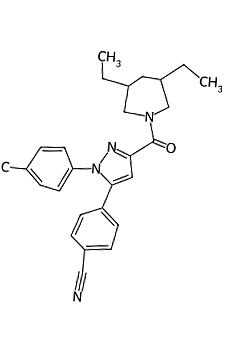 CCC1CC(CC)CN(C(=O)c2cc(-c3ccc(C#N)cc3)n(-c3ccc(C)cc3)n2)C1